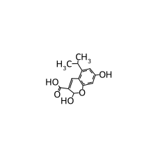 CC(C)c1cc(O)cc2c1C=C(C(=O)O)C(O)O2